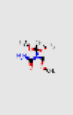 COCN(C(N)=O)C(C)(OC)OC